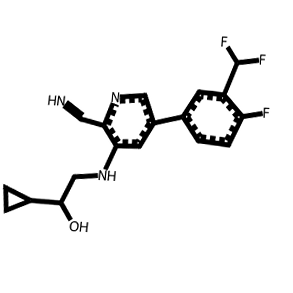 N=Cc1ncc(-c2ccc(F)c(C(F)F)c2)cc1NCC(O)C1CC1